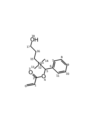 C=CC(=O)OC(c1ccccc1)[N+](C)(C)CCCO